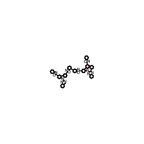 c1ccc(-c2nc3ccccc3nc2-n2c3ccc(-c4nc5ccccc5o4)cc3c3cc(-c4nc5cc(-c6cccc7nc(-c8ccc9c(c8)c8cc(-c%10nc%11ccccc%11o%10)ccc8n9-c8ncc9ccccc9n8)oc67)ccc5o4)ccc32)cc1